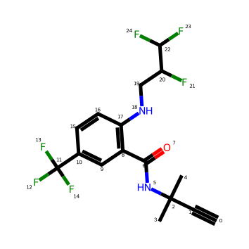 C#CC(C)(C)NC(=O)c1cc(C(F)(F)F)ccc1NCC(F)C(F)F